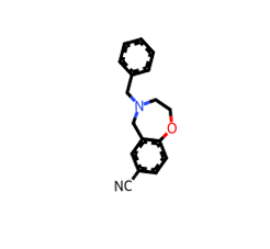 N#Cc1ccc2c(c1)CN(Cc1ccccc1)CCO2